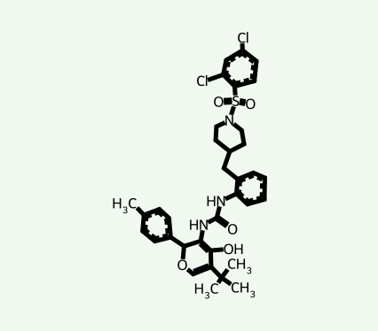 Cc1ccc(C2OC=C(C(C)(C)C)C(O)=C2NC(=O)Nc2ccccc2CC2CCN(S(=O)(=O)c3ccc(Cl)cc3Cl)CC2)cc1